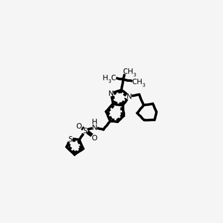 CC(C)(C)c1nc2cc(CNS(=O)(=O)c3cccs3)ccc2n1CC1CCCCC1